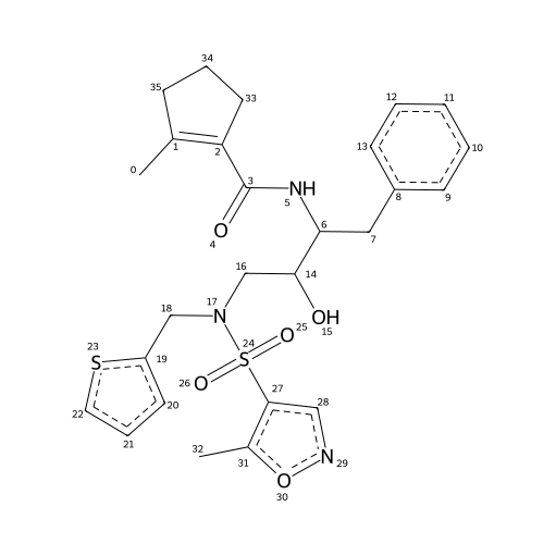 CC1=C(C(=O)NC(Cc2ccccc2)C(O)CN(Cc2cccs2)S(=O)(=O)c2cnoc2C)CCC1